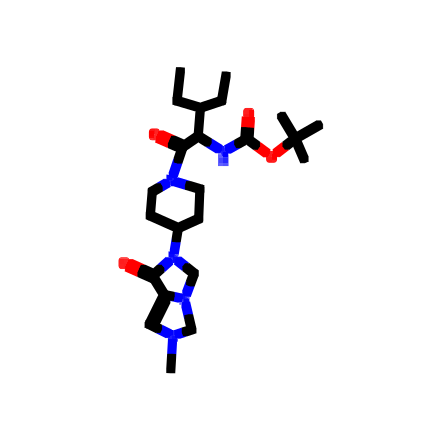 CCC(CC)C(NC(=O)OC(C)(C)C)C(=O)N1CCC(N2CN3CN(C)C=C3C2=O)CC1